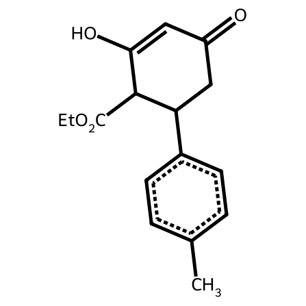 CCOC(=O)C1C(O)=CC(=O)CC1c1ccc(C)cc1